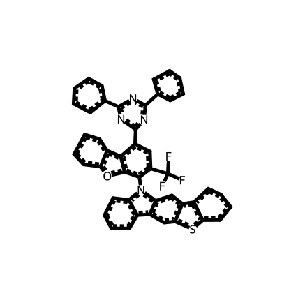 FC(F)(F)c1cc(-c2nc(-c3ccccc3)nc(-c3ccccc3)n2)c2c(oc3ccccc32)c1-n1c2ccccc2c2cc3sc4ccccc4c3cc21